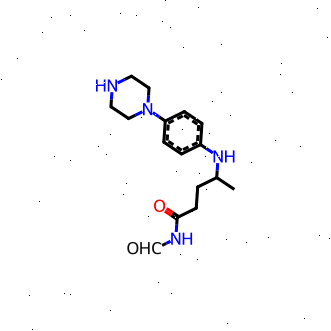 CC(CCC(=O)NC=O)Nc1ccc(N2CCNCC2)cc1